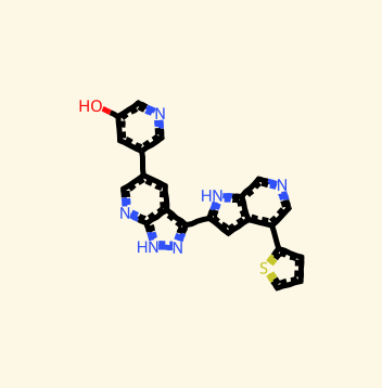 Oc1cncc(-c2cnc3[nH]nc(-c4cc5c(-c6cccs6)cncc5[nH]4)c3c2)c1